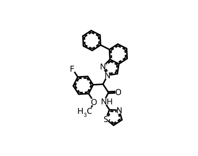 COc1ccc(F)cc1C(C(=O)Nc1nccs1)n1cc2cccc(-c3ccccc3)c2n1